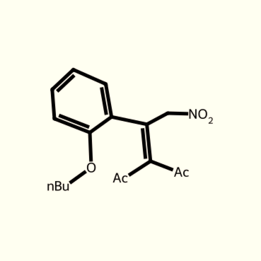 CCCCOc1ccccc1C(C[N+](=O)[O-])=C(C(C)=O)C(C)=O